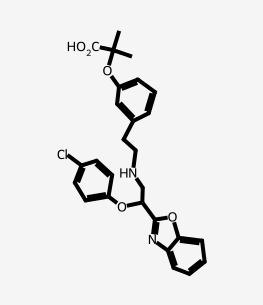 CC(C)(Oc1cccc(CCNCC(Oc2ccc(Cl)cc2)c2nc3ccccc3o2)c1)C(=O)O